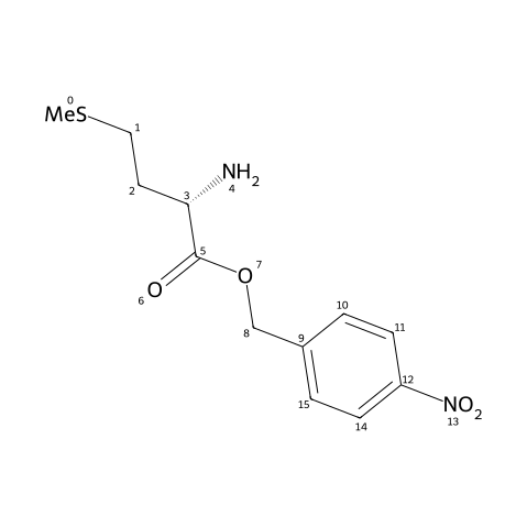 CSCC[C@H](N)C(=O)OCc1ccc([N+](=O)[O-])cc1